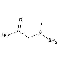 BN(C)CC(=O)O